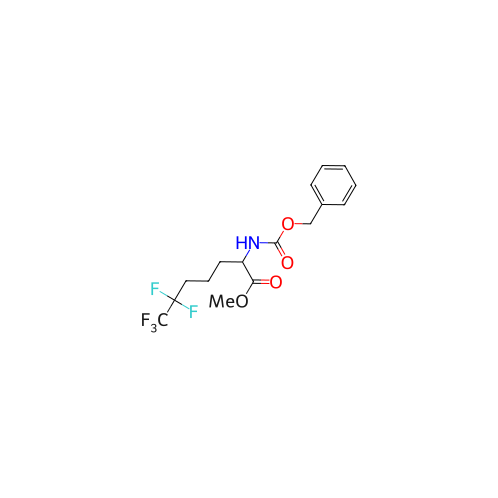 COC(=O)C(CCCC(F)(F)C(F)(F)F)NC(=O)OCc1ccccc1